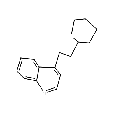 c1ccc2c(CCC3CCCCN3)ccnc2c1